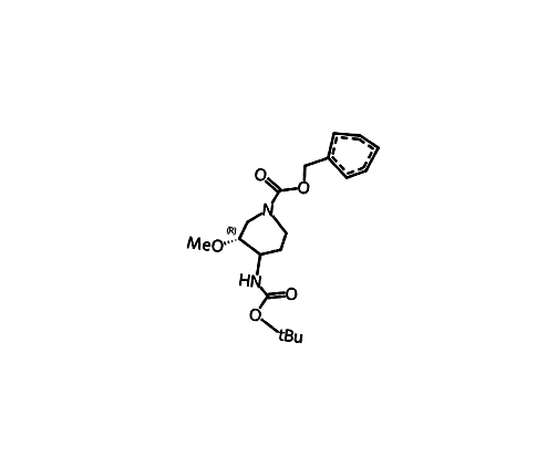 CO[C@@H]1CN(C(=O)OCc2ccccc2)CCC1NC(=O)OC(C)(C)C